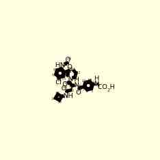 O=C(O)Nc1ccc(C(=O)N[C@@H](CC(=O)NC2CCC2)C(=O)N2CCC[C@@]3(C2)OC(=O)Nc2ccc(Cl)cc23)cc1